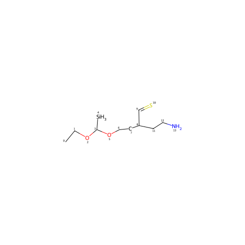 CCOC([SiH3])OCCC(C=S)CCN